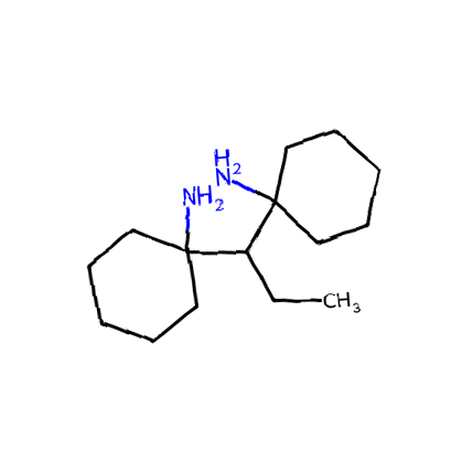 CCC(C1(N)CCCCC1)C1(N)CCCCC1